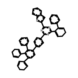 C1=CC(c2ccc(-c3ccc(-c4nc(C5=CCCC=C5c5ccccc5)nc(-c5cc6ccccc6s5)n4)cc3)c(-c3ccccc3)c2C2=CCCC=C2)=CCC1